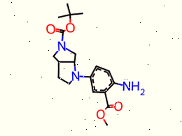 COC(=O)c1cc(N2CCC3CN(C(=O)OC(C)(C)C)CC32)ccc1N